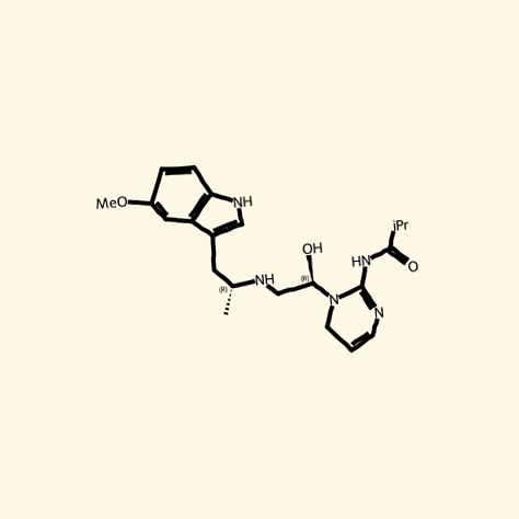 COc1ccc2[nH]cc(C[C@@H](C)NC[C@@H](O)N3CC=CN=C3NC(=O)C(C)C)c2c1